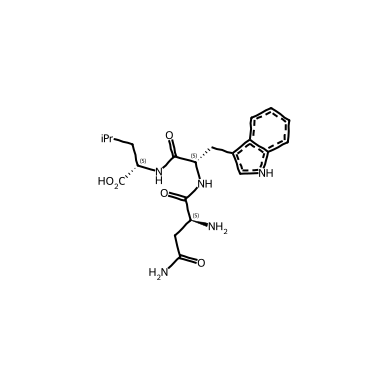 CC(C)C[C@H](NC(=O)[C@H](Cc1c[nH]c2ccccc12)NC(=O)[C@@H](N)CC(N)=O)C(=O)O